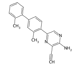 C#Cc1nc(-c2ccc(-c3ccccc3C)cc2C)cnc1N